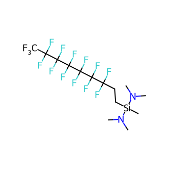 CN(C)[Si](C)(CCC(F)(F)C(F)(F)C(F)(F)C(F)(F)C(F)(F)C(F)(F)C(F)(F)F)N(C)C